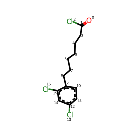 O=C(Cl)CCCCCCc1ccc(Cl)cc1Cl